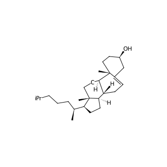 CC(C)CCC[C@H](C)[C@@H]1CC[C@@H]2[C@H]3CC=C4C[C@H](O)CC[C@@]4(C)[C@@H]3CC[C@]21C